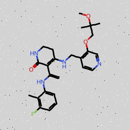 C=C(Nc1cccc(F)c1C)C1=C(NCc2ccncc2OCC(C)(C)OC)CCNC1=O